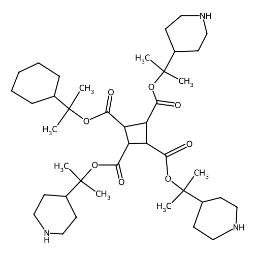 CC(C)(OC(=O)C1C(C(=O)OC(C)(C)C2CCNCC2)C(C(=O)OC(C)(C)C2CCNCC2)C1C(=O)OC(C)(C)C1CCNCC1)C1CCCCC1